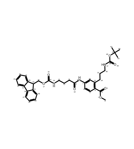 COC(=O)c1ccc(NC(=O)CCCNC(=O)OCC2c3ccccc3-c3ccccc32)cc1CCCNC(=O)OC(C)(C)C